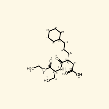 CCOC(=O)[C@H](CO)NC(=O)[C@H](CCCC1CCCCC1)CC(=O)O